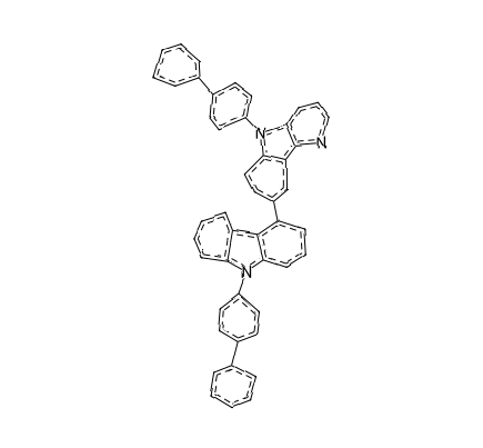 c1ccc(-c2ccc(-n3c4ccc(-c5cccc6c5c5ccccc5n6-c5ccc(-c6ccccc6)cc5)cc4c4ncccc43)cc2)cc1